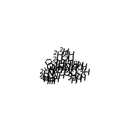 [2H]c1c([2H])c([2H])c(C([2H])([2H])[C@]([2H])(NC(=O)COc2c(C([2H])([2H])[2H])c([2H])c([2H])c([2H])c2C([2H])([2H])[2H])[C@@H](O)C[C@H](Cc2ccccc2)NC(=O)[C@H](C(C)C)N2C(=O)NC([2H])([2H])C([2H])([2H])C2([2H])[2H])c([2H])c1[2H]